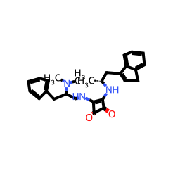 C[C@H](CC1=CCc2ccccc21)Nc1c(NCC(Cc2ccccc2)N(C)C)c(=O)c1=O